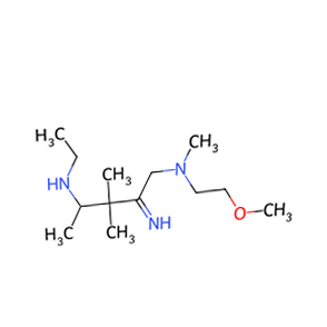 CCNC(C)C(C)(C)C(=N)CN(C)CCOC